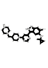 CC1(Oc2cc3c(-c4cc(N5CCC(CN6CCNCC6)CC5)ncn4)[nH]nc3cc2F)CC1